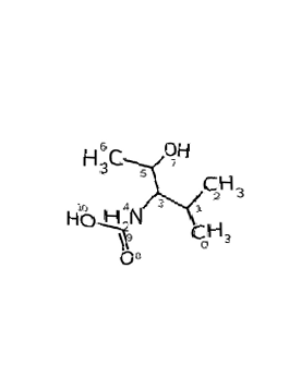 CC(C)C(N)C(C)O.O=CO